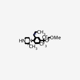 C/C=C\c1cc(C(OCOC)(C(F)(F)F)C(F)(F)F)ccc1N1CCNC[C@H]1C